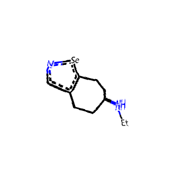 CCNC1CCc2cn[se]c2C1